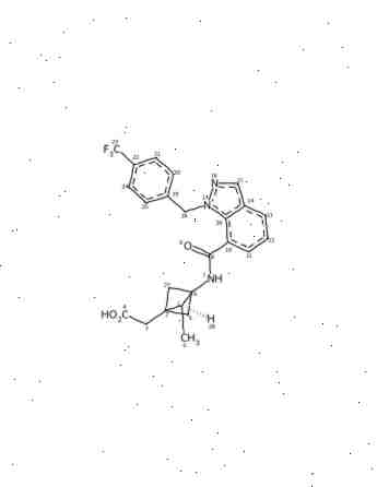 C[C@H]1C2(CC(=O)O)CC1(NC(=O)c1cccc3cnn(Cc4ccc(C(F)(F)F)cc4)c13)C2